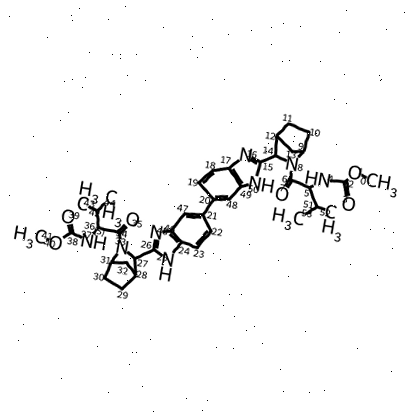 COC(=O)NC(C(=O)N1C2CCC(C2)C1c1nc2ccc(-c3ccc4[nH]c(C5C6CCC(C6)N5C(=O)[C@@H](NC(=O)OC)C(C)C)nc4c3)cc2[nH]1)C(C)C